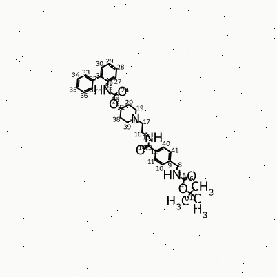 CC(C)(C)OC(=O)NCc1ccc(C(=O)NCCN2CCC(OC(=O)Nc3ccccc3-c3ccccc3)CC2)cc1